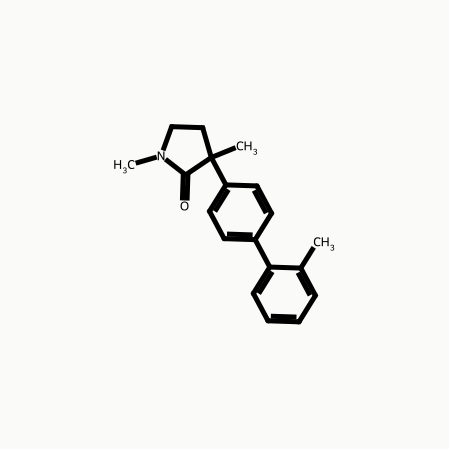 Cc1ccccc1-c1ccc(C2(C)CCN(C)C2=O)cc1